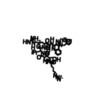 CCCCc1nc2c(NNC(=O)C(CCCNC(=N)N)NC(=O)C(NC(=O)C(CC(C)C)C(=O)C(CO)NC(=O)CCCCN=[N+]=[N-])C(C)C)nc3ccccc3c2n1Cc1ccccc1